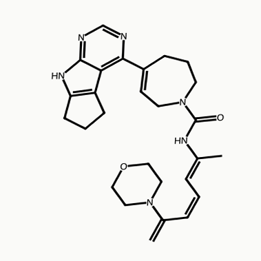 C=C(/C=C\C=C(/C)NC(=O)N1CC=C(c2ncnc3[nH]c4c(c23)CCC4)CCC1)N1CCOCC1